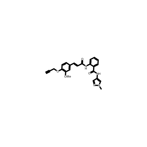 C#CCOc1ccc(C=CC(=O)Nc2ccccc2C(=O)Nc2cnn(C)c2)cc1OC